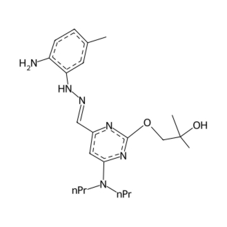 CCCN(CCC)c1cc(/C=N/Nc2cc(C)ccc2N)nc(OCC(C)(C)O)n1